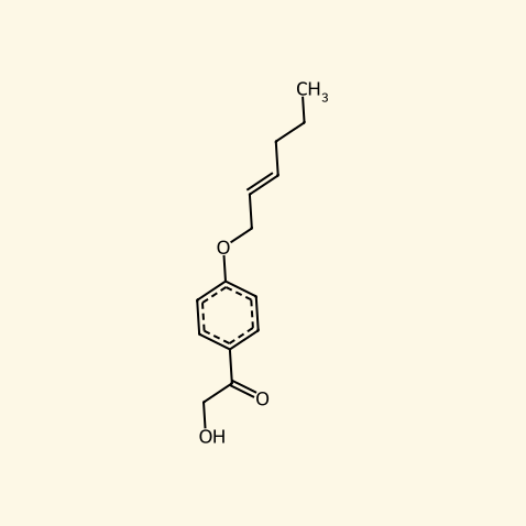 CCCC=CCOc1ccc(C(=O)CO)cc1